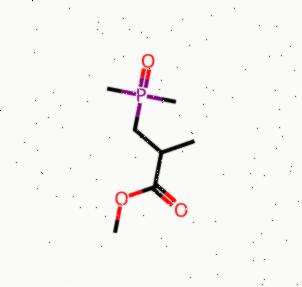 COC(=O)C(C)CP(C)(C)=O